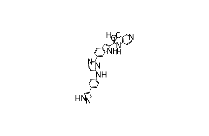 Cc1cnccc1NC(=O)c1cc2ccc(-c3nccc(Nc4ccc(-c5cn[nH]c5)cc4)n3)cc2[nH]1